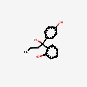 CCCC(O)(c1ccc(O)cc1)c1ccccc1O